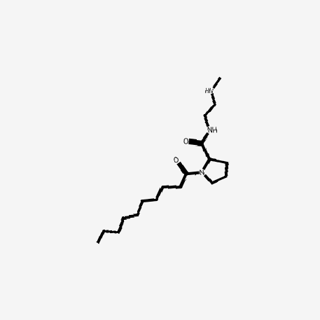 CCCCCCCCCC(=O)N1CCCC1C(=O)NCCNC